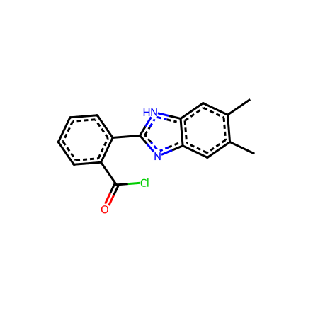 Cc1cc2nc(-c3ccccc3C(=O)Cl)[nH]c2cc1C